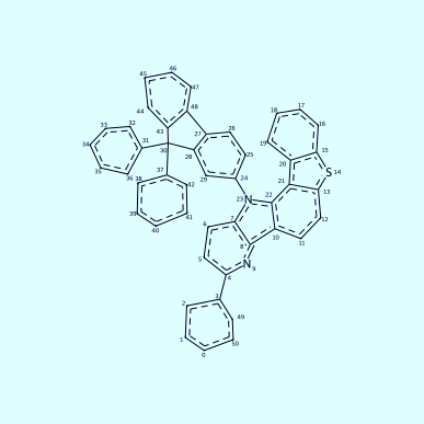 c1ccc(-c2ccc3c(n2)c2ccc4sc5ccccc5c4c2n3-c2ccc3c(c2)C(c2ccccc2)(c2ccccc2)c2ccccc2-3)cc1